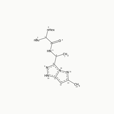 CCCCCCC(CCCC)C(=O)NC(C)c1n[nH]c2cc(C)nn12